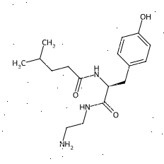 CC(C)CCC(=O)N[C@@H](Cc1ccc(O)cc1)C(=O)NCCN